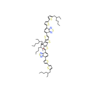 CCCCC(CC)Cc1ccc(-c2ccc(-c3ccc(-c4cc5c(s4)-c4sc6cc(-c7ccc(-c8ccc(-c9ccc(CC(CC)CCCC)s9)s8)c8nsnc78)sc6c4[Si]5(CC(CC)CCCC)CC(CC)CCCC)c4nsnc34)s2)s1